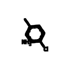 Cc1ccc(Cl)cc1.N